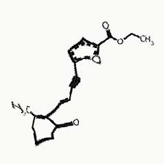 CCOC(=O)c1ccc(C#CC=CC2=C(C)CCCC2=O)o1